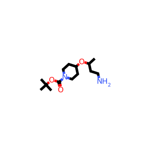 CC(CCN)OC1CCN(C(=O)OC(C)(C)C)CC1